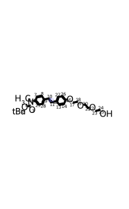 CN(C(=O)OC(C)(C)C)c1ccc(/C=C/c2ccc(OCCOCCOCCO)cc2)cc1